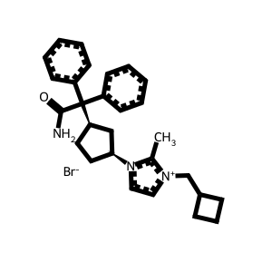 Cc1n([C@H]2CC[C@@H](C(C(N)=O)(c3ccccc3)c3ccccc3)C2)cc[n+]1CC1CCC1.[Br-]